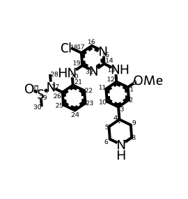 COc1cc([C]2CCNCC2)ccc1Nc1ncc(Cl)c(Nc2ccccc2N(C)[S+](C)[O-])n1